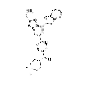 NCc1cc2cc(-c3ccc(C(=O)N4CCC(F)(F)CC4)cn3)cc(-c3cc4ccccc4o3)c2o1